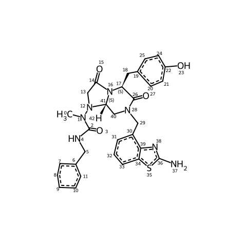 CN(C(=O)NCc1ccccc1)N1CC(=O)N2[C@@H](Cc3ccc(O)cc3)C(=O)N(Cc3cccc4sc(N)nc34)C[C@@H]21